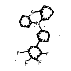 Fc1cc(-c2cccc(N3c4ccccc4Sc4ccccc43)c2)c(F)c(F)c1F